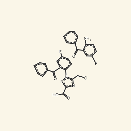 Nc1ccc(F)cc1C(=O)c1ccccc1.O=C(O)c1nc(CCl)n(-c2ccc(F)cc2C(=O)c2ccccc2)n1